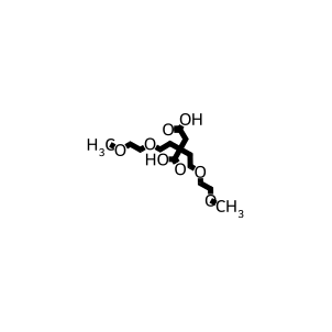 COCCOCCC(CCOCCOC)(CC(=O)O)C(=O)O